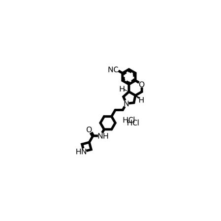 Cl.Cl.N#Cc1ccc2c(c1)[C@@H]1CN(CCC3CCC(NC(=O)C4CNC4)CC3)C[C@H]1CO2